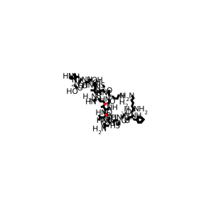 CC(C)[C@H](NC(=O)[C@H](CC(N)=O)NC(=O)[C@H](CS)NC(=O)[C@H](C)NC(=O)[C@H](Cc1ccccc1)NC(=O)[C@@H](N)CCCCN)C(=O)N[C@H](C(=O)N[C@@H](CCCNC(=N)N)C(=O)N[C@@H](CCCCN)C(=O)N[C@@H](CS)C(=O)N[C@H](C(=O)N[C@H](C(=O)N[C@@H](Cc1c[nH]cn1)C(=O)N[C@@H](C)C(=O)O)[C@@H](C)O)C(C)C)C(C)C